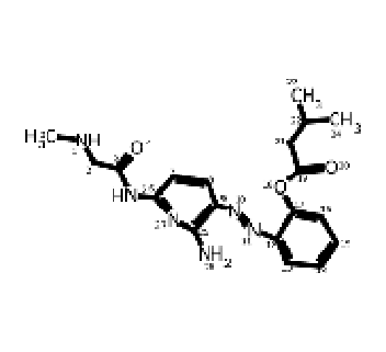 CNCC(=O)Nc1ccc(/N=N/c2ccccc2OC(=O)CC(C)C)c(N)n1